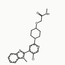 CNC(=O)COC1CCN(c2cc(-c3nc4ccccc4n3C)c(Cl)cn2)CC1